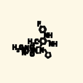 Cc1cc(Nc2ccc(F)cc2)c(C=N)cc1[C@@H]1CN(S(=O)(=O)c2cnn(C)n2)CCN1CC1CCCC1